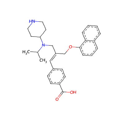 CC(C)N(CC(=Cc1ccc(C(=O)O)cc1)COc1cccc2ccccc12)C1CCNCC1